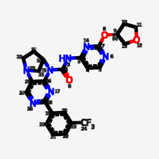 O=C(Nc1ccnc(O[C@H]2CCOC2)n1)N1c2nc(-c3cccc(C(F)(F)F)c3)ncc2N2CCC1C2